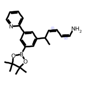 CC(/C=C\C=C/N)c1cc(B2OC(C)(C)C(C)(C)O2)cc(-c2ccccn2)c1